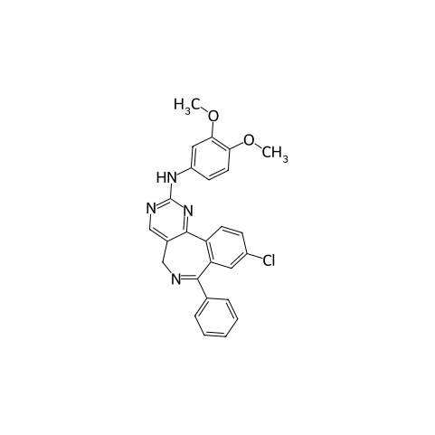 COc1ccc(Nc2ncc3c(n2)-c2ccc(Cl)cc2C(c2ccccc2)=NC3)cc1OC